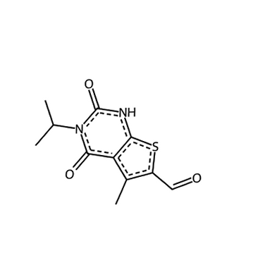 Cc1c(C=O)sc2[nH]c(=O)n(C(C)C)c(=O)c12